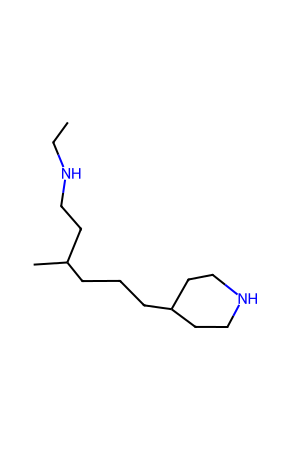 CCNCCC(C)CCCC1CCNCC1